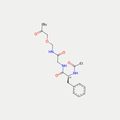 CCC(=O)N[C@@H](Cc1ccccc1)C(=O)NCC(=O)NCOCC(=O)C(C)(C)C